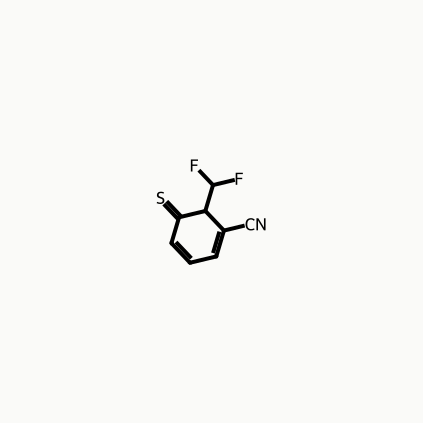 N#CC1=CC=CC(=S)C1C(F)F